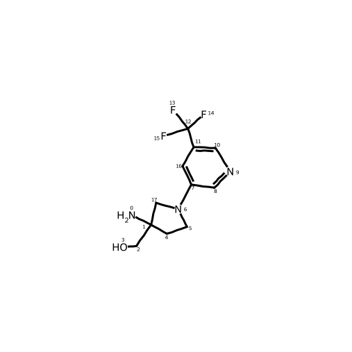 NC1(CO)CCN(c2cncc(C(F)(F)F)c2)C1